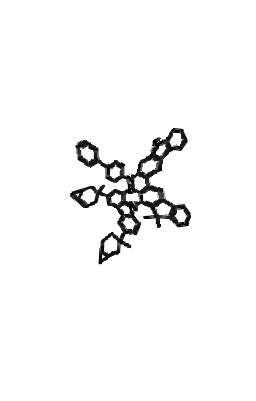 CC1(c2ccc3c(c2)c2cc(C4(C)CC=C5CC5C4)cc4c2n3-c2c3c(cc5c2C(C)(C)c2ccccc2-5)-c2cc5c(cc2N(c2ccc(-c6ccccc6)cc2)B34)sc2ccccc25)CC=C2CC2C1